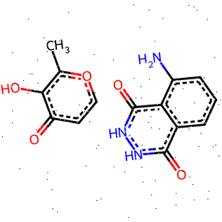 Cc1occc(=O)c1O.Nc1cccc2c(=O)[nH][nH]c(=O)c12